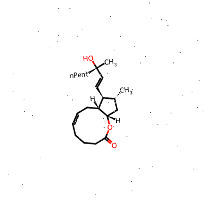 CCCCC[C@](C)(O)/C=C/[C@@H]1[C@H]2C/C=C\CCCC(=O)O[C@H]2C[C@H]1C